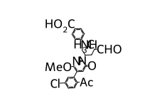 COc1nn(C(CNc2ccc(C(=O)O)cc2)CC(C)C=O)c(=O)cc1-c1cc(Cl)ccc1C(C)=O